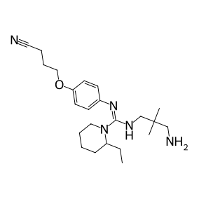 CCC1CCCCN1/C(=N\c1ccc(OCCCC#N)cc1)NCC(C)(C)CN